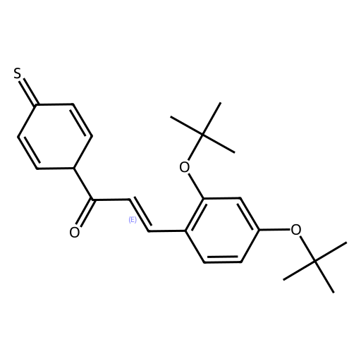 CC(C)(C)Oc1ccc(/C=C/C(=O)C2C=CC(=S)C=C2)c(OC(C)(C)C)c1